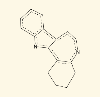 c1ccc2c3ccnc4c(c-3nc2c1)CCCC4